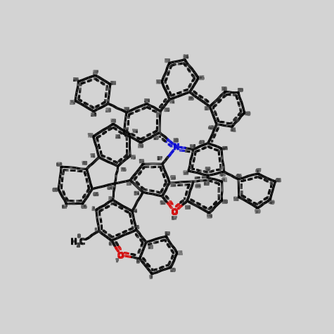 Cc1cc2c(c3c1oc1ccccc13)-c1c(cc(-n3c4ccc(-c5ccccc5)cc4c4ccccc4c4ccccc4c4cc(-c5ccccc5)ccc43)c3c1oc1ccccc13)C21c2ccccc2-c2ccccc21